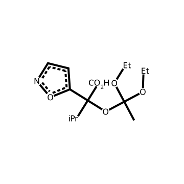 CCOC(C)(OCC)OC(C(=O)O)(c1ccno1)C(C)C